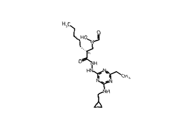 CCCCC[C@H](CN(O)C=O)C(=O)NNc1nc(CC)nc(NCC2CC2)n1